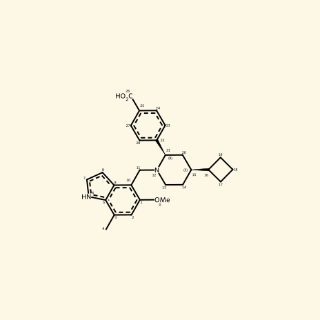 COc1cc(C)c2[nH]ccc2c1CN1CC[C@H](C2CCC2)C[C@@H]1c1ccc(C(=O)O)cc1